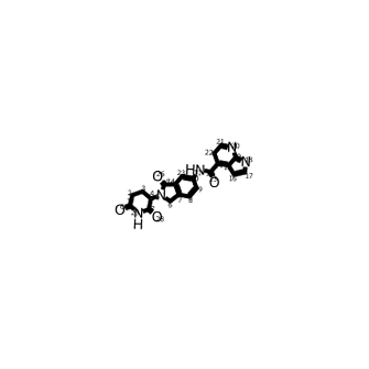 O=C1CCC(N2Cc3ccc(NC(=O)C4=C5C=CN=C5N=CC4)cc3C2=O)C(=O)N1